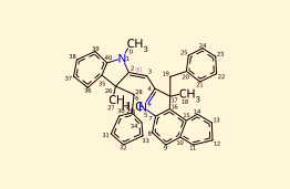 CN1/C(=C/C2=[N+](C)c3ccc4ccccc4c3C2(C)Cc2ccccc2)C(C)(Cc2ccccc2)c2ccccc21